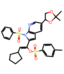 Cc1ccc(S(=O)(=O)OC(=CC2CCCC2)c2cc3cc(C4COC(C)(C)O4)cnc3n2S(=O)(=O)c2ccccc2)cc1